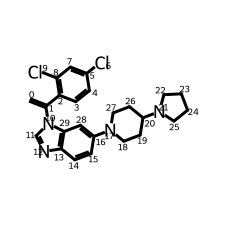 C=C(c1ccc(Cl)cc1Cl)n1cnc2ccc(N3CCC(N4CCCC4)CC3)cc21